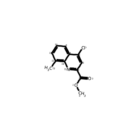 COC(=O)c1cc(Cl)c2cccc(C)c2n1